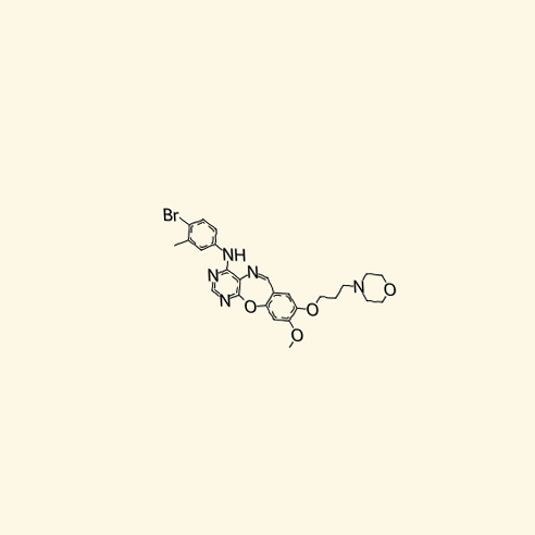 COc1cc2c(cc1OCCCN1CCOCC1)C=Nc1c(Nc3ccc(Br)c(C)c3)ncnc1O2